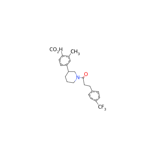 Cc1cc(C2CCCN(C(=O)CCc3ccc(C(F)(F)F)cc3)C2)ccc1C(=O)O